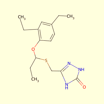 CCc1ccc(OC(CC)SCc2n[nH]c(=O)[nH]2)c(CC)c1